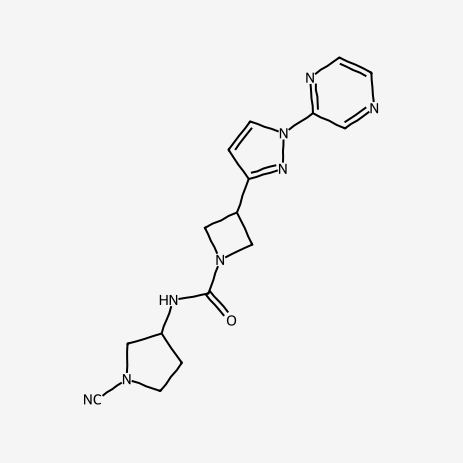 N#CN1CCC(NC(=O)N2CC(c3ccn(-c4cnccn4)n3)C2)C1